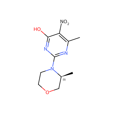 Cc1nc(N2CCOC[C@@H]2C)nc(O)c1[N+](=O)[O-]